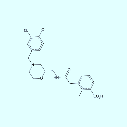 Cc1c(CC(=O)NCC2CN(Cc3ccc(Cl)c(Cl)c3)CCO2)cccc1C(=O)O